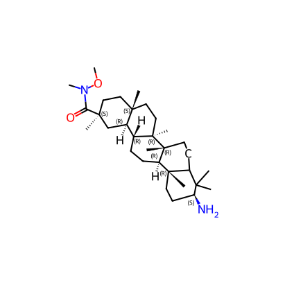 CON(C)C(=O)[C@@]1(C)CC[C@]2(C)CC[C@]3(C)[C@H](CC[C@@H]4[C@@]5(C)CC[C@H](N)C(C)(C)C5CC[C@]43C)[C@H]2C1